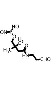 CC(C)(COP(N=O)N=O)CC(=O)NCCC=O